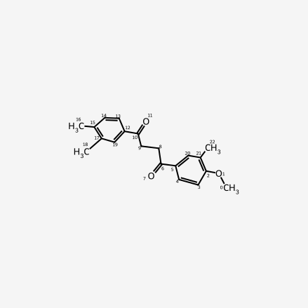 COc1ccc(C(=O)CCC(=O)c2ccc(C)c(C)c2)cc1C